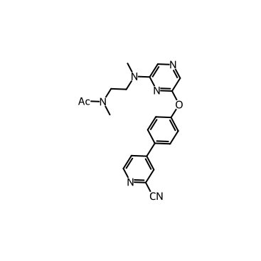 CC(=O)N(C)CCN(C)c1cncc(Oc2ccc(-c3ccnc(C#N)c3)cc2)n1